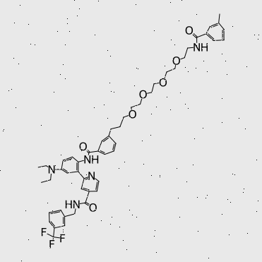 CCN(CC)c1ccc(NC(=O)c2cccc(CCCOCCOCCOCCOCCNC(=O)c3cccc(C)c3)c2)c(-c2cc(C(=O)NCc3cccc(C(F)(F)F)c3)ccn2)c1